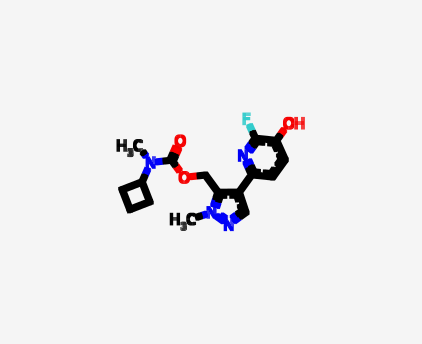 CN(C(=O)OCc1c(-c2ccc(O)c(F)n2)cnn1C)C1CCC1